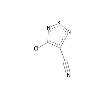 N#Cc1nsnc1Cl